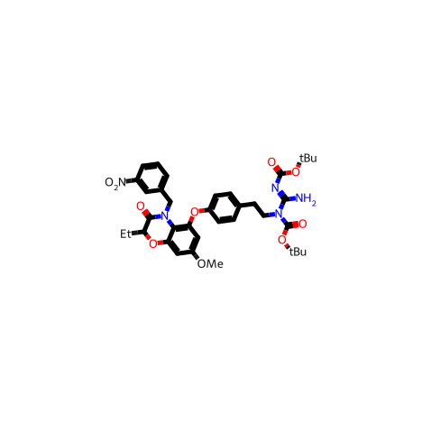 CCC1Oc2cc(OC)cc(Oc3ccc(CCN(C(=O)OC(C)(C)C)C(N)=NC(=O)OC(C)(C)C)cc3)c2N(Cc2cccc([N+](=O)[O-])c2)C1=O